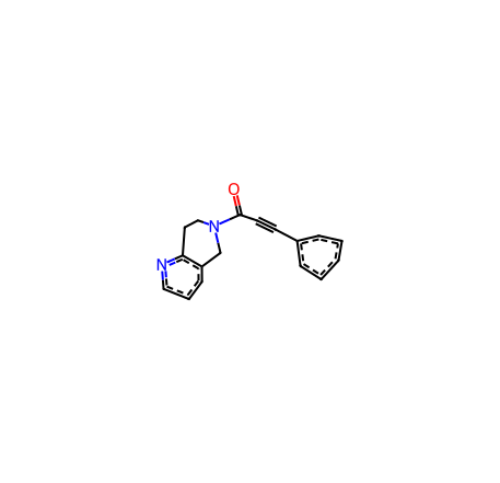 O=C(C#Cc1ccccc1)N1CCc2ncccc2C1